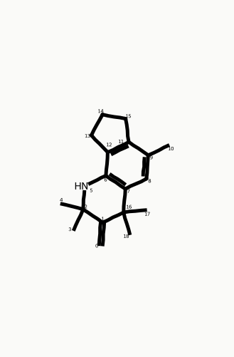 C=C1C(C)(C)Nc2c(cc(C)c3c2CCC3)C1(C)C